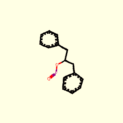 O=POC(Cc1ccccc1)Cc1ccccc1